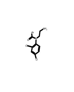 CC(C)C(=O)N(CCN)c1ccc(Cl)cc1Cl